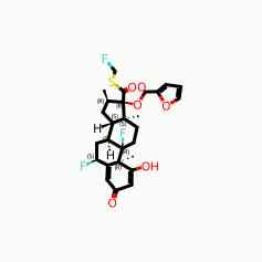 C[C@@H]1C[C@H]2[C@@H]3C[C@H](F)C4=CC(=O)C=C(O)[C@]4(C)[C@@]3(F)CC[C@]2(C)[C@@]1(OC(=O)c1ccco1)C(=O)SCF